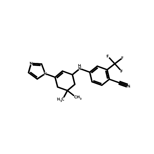 CC1(C)CC(n2ccnc2)=CC(Nc2ccc(C#N)c(C(F)(F)F)c2)C1